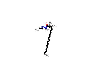 CCCCCCCCCCCCCCCC(C)C(C)(C)C(=O)NNCCC